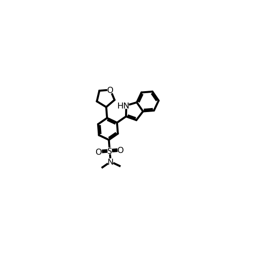 CN(C)S(=O)(=O)c1ccc(C2CCOC2)c(-c2cc3ccccc3[nH]2)c1